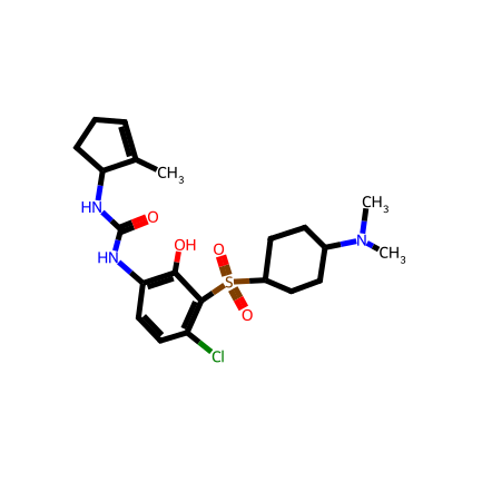 CC1=CCCC1NC(=O)Nc1ccc(Cl)c(S(=O)(=O)C2CCC(N(C)C)CC2)c1O